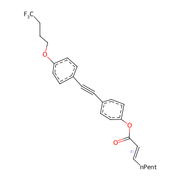 CCCCC/C=C/C(=O)Oc1ccc(C#Cc2ccc(OCCCC(F)(F)F)cc2)cc1